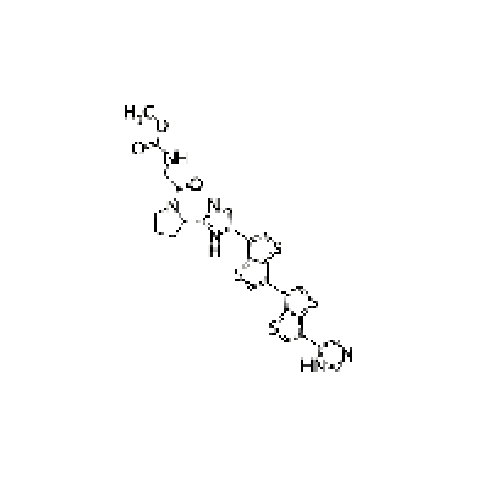 COC(=O)NCC(=O)N1CCC[C@H]1c1ncc(-c2csc3c(-c4csc5c(-c6cnc[nH]6)csc45)csc23)[nH]1